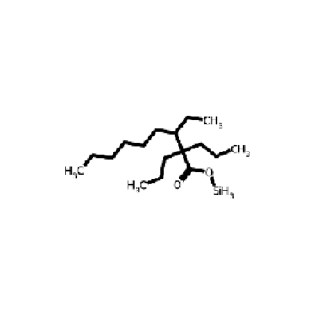 CCCCCCC(CC)C(CCC)(CCC)C(=O)O[SiH3]